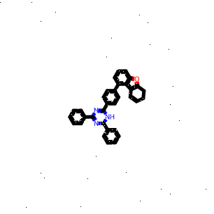 C1=Cc2c(oc3cccc(-c4ccc(C5=NC(c6ccccc6)=NC(c6ccccc6)N5)cc4)c23)CC1